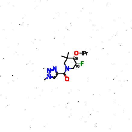 CC(C)O[C@@H]1[C@H](F)CN(C(=O)c2cn(C)nn2)CC1(C)C